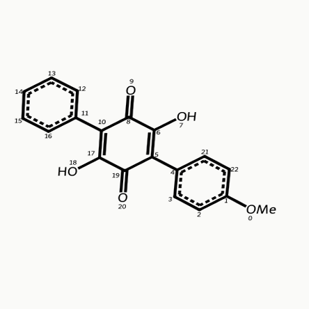 COc1ccc(C2=C(O)C(=O)C(c3ccccc3)=C(O)C2=O)cc1